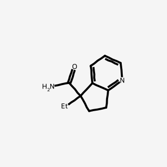 CCC1(C(N)=O)CCc2ncccc21